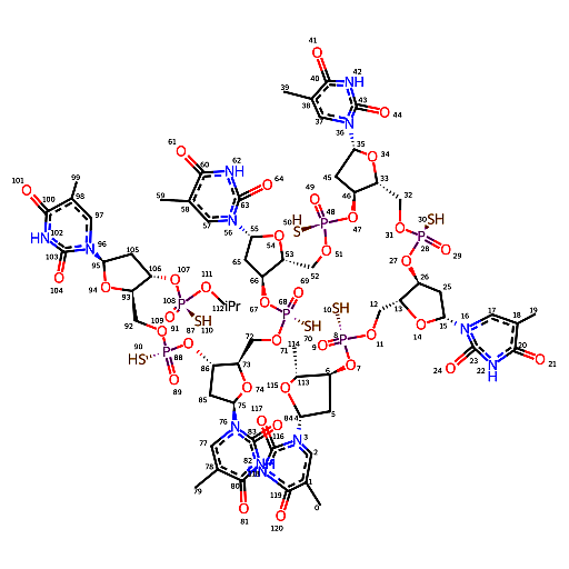 Cc1cn([C@H]2C[C@H](O[P@](=O)(S)OC[C@H]3O[C@@H](n4cc(C)c(=O)[nH]c4=O)C[C@@H]3O[P@](=O)(S)OC[C@H]3O[C@@H](n4cc(C)c(=O)[nH]c4=O)C[C@@H]3O[P@](=O)(S)OC[C@H]3O[C@@H](n4cc(C)c(=O)[nH]c4=O)C[C@@H]3O[P@](=O)(S)OC[C@H]3O[C@@H](n4cc(C)c(=O)[nH]c4=O)C[C@@H]3O[P@](=O)(S)OC[C@H]3O[C@@H](n4cc(C)c(=O)[nH]c4=O)C[C@@H]3O[P@](=O)(S)OC(C)C)[C@@H](C)O2)c(=O)[nH]c1=O